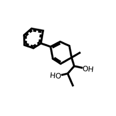 CC(O)C(O)C1(C)C=CC(c2ccccc2)=CC1